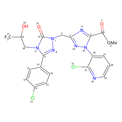 COC(=O)c1nc(Cn2nc(-c3ccc(Cl)cc3)n(CC(O)C(F)(F)F)c2=O)nn1-c1cccnc1Cl